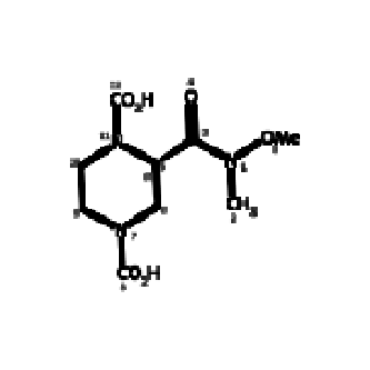 CON(C)C(=O)[C@H]1CN(C(=O)O)CCN1C(=O)O